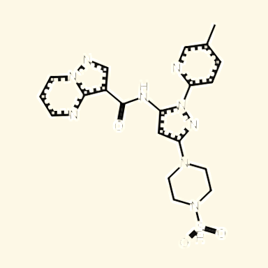 Cc1ccc(-n2nc(N3CCN([SH](=O)=O)CC3)cc2NC(=O)c2cnn3cccnc23)nc1